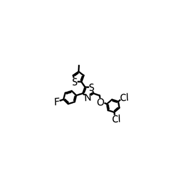 Cc1csc(-c2sc(COc3cc(Cl)cc(Cl)c3)nc2-c2ccc(F)cc2)c1